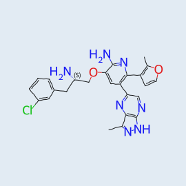 Cc1occc1-c1nc(N)c(OC[C@@H](N)Cc2cccc(Cl)c2)cc1-c1cnc2[nH]nc(C)c2n1